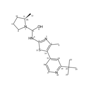 Cc1nc(NC(O)N2CCC[C@H]2C)sc1-c1ccnc(C(C)(C)C)c1